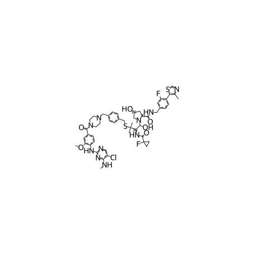 CNc1nc(Nc2ccc(C(=O)N3CCN(Cc4ccc(CSC(C)(C)[C@H](NC(=O)C5(F)CC5)C(O)N5C[C@H](O)C[C@H]5C(=O)NCc5ccc(-c6scnc6C)c(F)c5)cc4)CC3)cc2OC)ncc1Cl